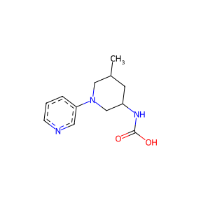 CC1CC(NC(=O)O)CN(c2cccnc2)C1